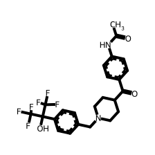 CC(=O)Nc1ccc(C(=O)C2CCN(Cc3ccc(C(O)(C(F)(F)F)C(F)(F)F)cc3)CC2)cc1